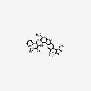 COc1cc2c(cc1-c1c(C)noc1C)[nH]c1nc(C)nc(N/C(C(=N)c3ccccc3)=C(\C)NC(C)C)c12